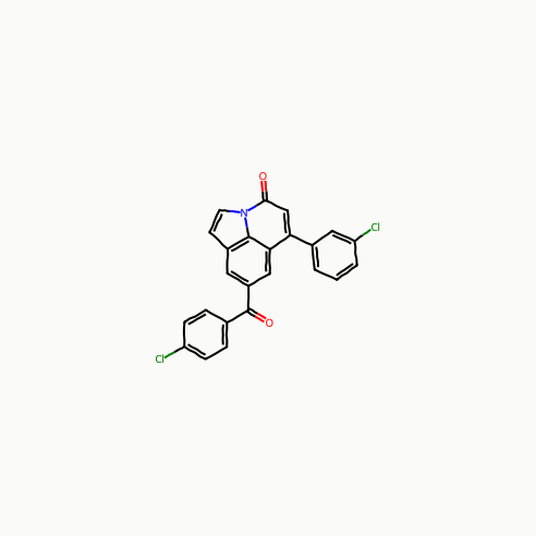 O=C(c1ccc(Cl)cc1)c1cc2ccn3c(=O)cc(-c4cccc(Cl)c4)c(c1)c23